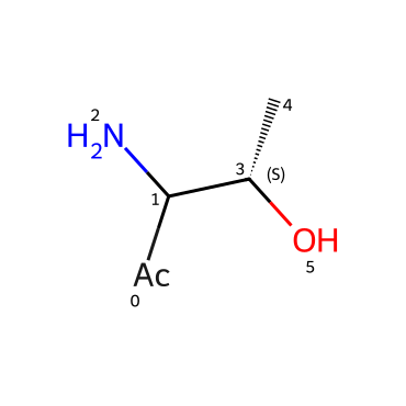 CC(=O)C(N)[C@H](C)O